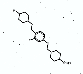 CCCCCCCC1CCC(COc2ccc(CCC3CCC(CCC)CC3)c(F)c2)CC1